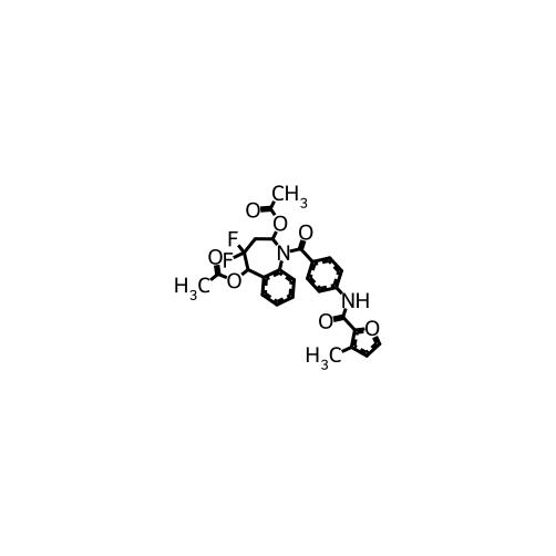 CC(=O)OC1CC(F)(F)C(OC(C)=O)c2ccccc2N1C(=O)c1ccc(NC(=O)c2occc2C)cc1